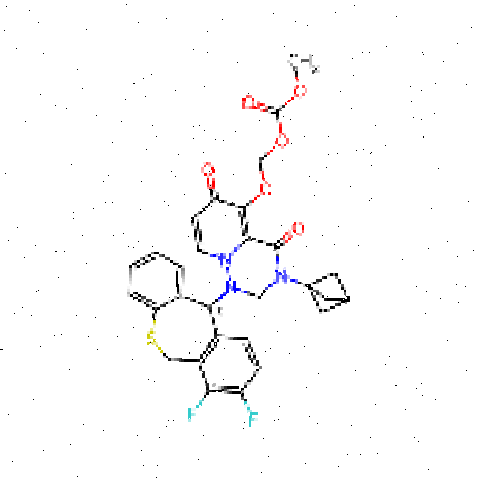 COC(=O)OCOc1c2n(ccc1=O)N([C@@H]1c3ccccc3SCc3c1ccc(F)c3F)CN(C13CC(C1)C3)C2=O